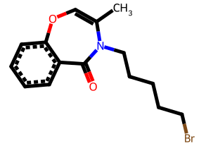 CC1=COc2ccccc2C(=O)N1CCCCCBr